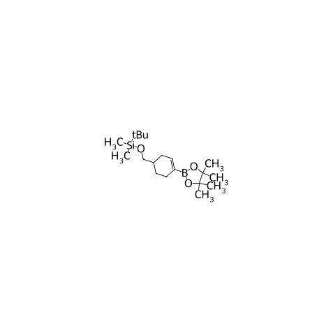 CC1(C)OB(C2=CCC(CO[Si](C)(C)C(C)(C)C)CC2)OC1(C)C